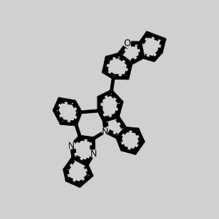 c1ccc2c(c1)-c1nc3ccccc3nc1-n1c3ccccc3c3cc(-c4ccc5oc6ccccc6c5c4)cc-2c31